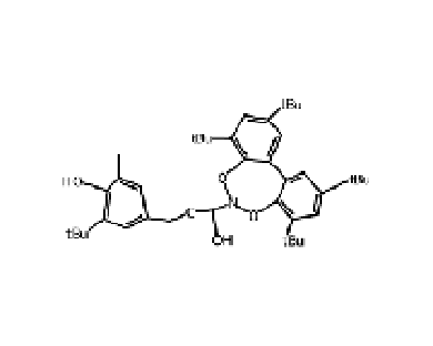 Cc1cc(CCC(O)n2oc3c(C(C)(C)C)cc(C(C)(C)C)cc3c3cc(C(C)(C)C)cc(C(C)(C)C)c3o2)cc(C(C)(C)C)c1O